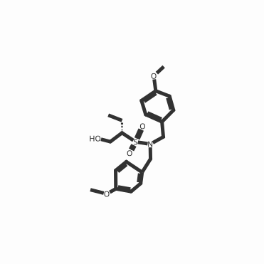 CC[C@@H](CO)S(=O)(=O)N(Cc1ccc(OC)cc1)Cc1ccc(OC)cc1